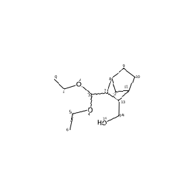 CCOC(OCC)C1C2CCC(C2)C1CO